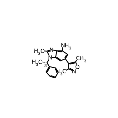 Cc1noc(C)c1-c1cc(N)c2nc(C)n([C@@H](C)c3ccccc3)c2c1